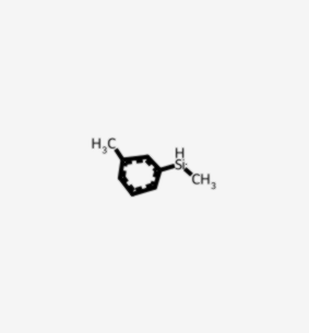 C[SiH]c1cccc(C)c1